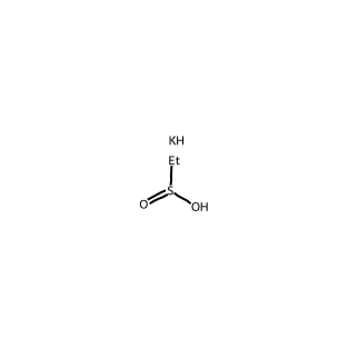 CCS(=O)O.[KH]